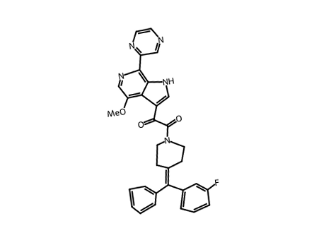 COc1cnc(-c2cnccn2)c2[nH]cc(C(=O)C(=O)N3CCC(=C(c4ccccc4)c4cccc(F)c4)CC3)c12